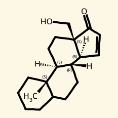 C[C@]12CCCCC1CC[C@H]1[C@@H]3C=CC(=O)[C@@]3(CO)CC[C@@H]12